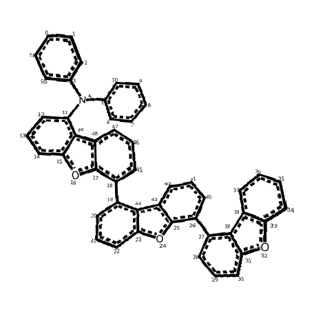 c1ccc(N(c2ccccc2)c2cccc3oc4c(-c5cccc6oc7c(-c8cccc9oc%10ccccc%10c89)cccc7c56)cccc4c23)cc1